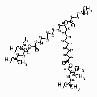 CNCCCC(=O)OC(CCCCCCCCCC(=O)OCC(CCC(C)C)C(C)C)CCCCCCCCCC(=O)OCC(CCC(C)C)C(C)C